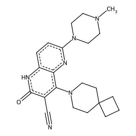 CN1CCN(c2ccc3[nH]c(=O)c(C#N)c(N4CCC5(CCC5)CC4)c3n2)CC1